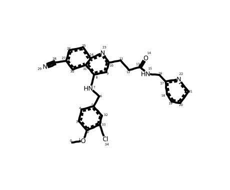 COc1ccc(CNc2cc(CCC(=O)NCc3ccccn3)nc3ccc(C#N)cc23)cc1Cl